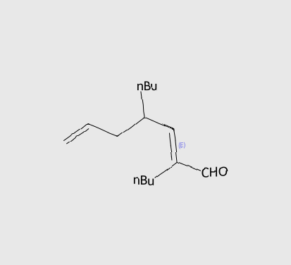 C=CCC(/C=C(/C=O)CCCC)CCCC